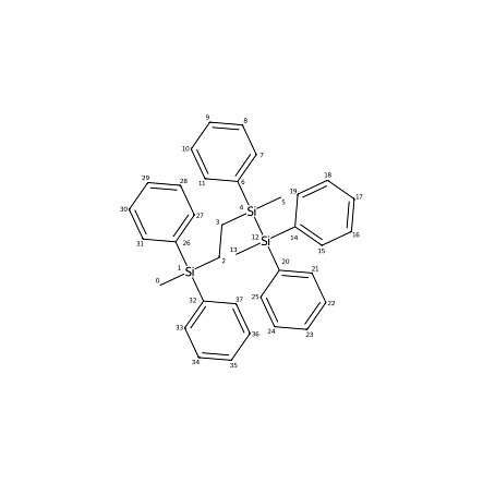 C[Si](CC[Si](C)(c1ccccc1)[Si](C)(c1ccccc1)c1ccccc1)(c1ccccc1)c1ccccc1